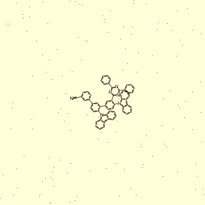 N#Cc1cccc(-c2ccc(-n3c4ccccc4c4ccccc43)c(-c3ccc(-n4c5ccccc5c5ccccc54)c(-c4nc(-c5ccccc5)nc(-c5ccccc5)n4)c3)c2)c1